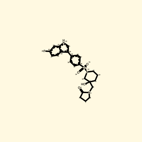 O=C1CCCN1CC1(O)CCCN(S(=O)(=O)c2ccc(-c3c[nH]c4cc(F)ccc34)cc2)C1